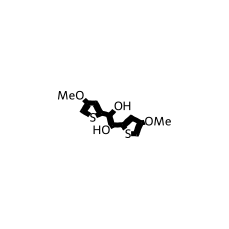 COc1csc(/C(O)=C(\O)c2cc(OC)cs2)c1